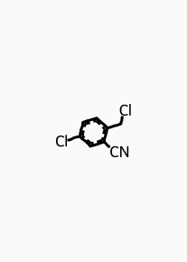 N#Cc1cc(Cl)ccc1CCl